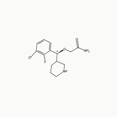 NC(=O)CO[C@H](c1cccc(Cl)c1F)C1CCCNC1